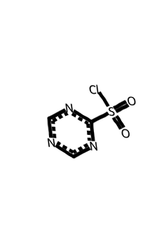 O=S(=O)(Cl)c1ncncn1